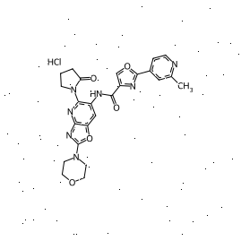 Cc1cc(-c2nc(C(=O)Nc3cc4oc(N5CCOCC5)nc4nc3N3CCCC3=O)co2)ccn1.Cl